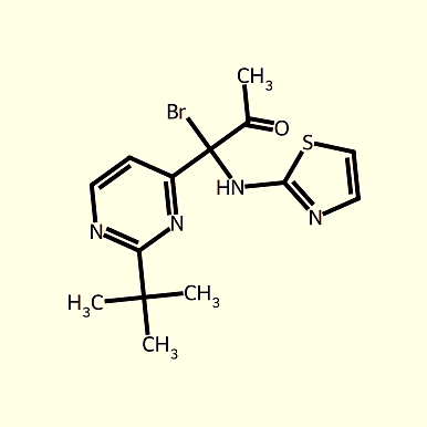 CC(=O)C(Br)(Nc1nccs1)c1ccnc(C(C)(C)C)n1